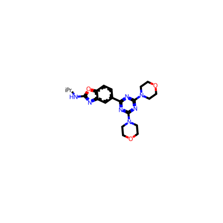 CC(C)Nc1nc2cc(-c3nc(N4CCOCC4)nc(N4CCOCC4)n3)ccc2o1